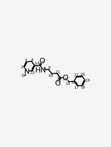 CN1C=CCC(C(=O)NCCCC(=O)OCc2ccccc2)=C1